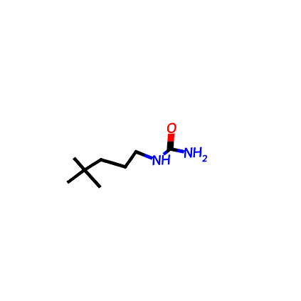 CC(C)(C)CCCNC(N)=O